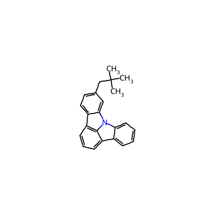 CC(C)(C)Cc1ccc2c3cccc4c5ccccc5n(c2c1)c43